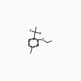 CCOc1cc(F)ccc1C(C)(F)F